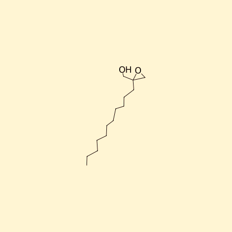 CCCCCCCCCCCC1(CO)CO1